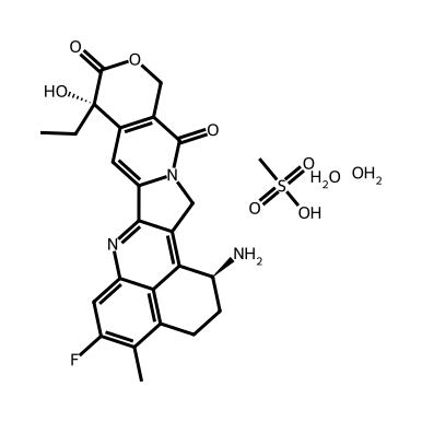 CC[C@@]1(O)C(=O)OCc2c1cc1n(c2=O)Cc2c-1nc1cc(F)c(C)c3c1c2[C@@H](N)CC3.CS(=O)(=O)O.O.O